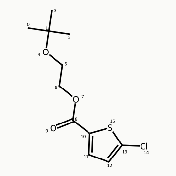 CC(C)(C)OCCOC(=O)c1ccc(Cl)s1